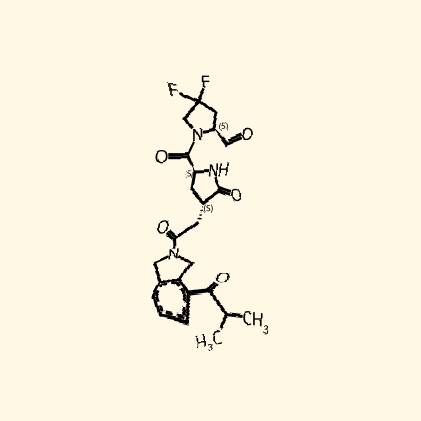 CC(C)C(=O)c1cccc2c1CN(C(=O)C[C@@H]1C[C@@H](C(=O)N3CC(F)(F)C[C@H]3C=O)NC1=O)C2